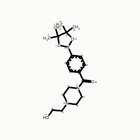 CC1(C)OB(c2ccc(C(=O)N3CCN(CCO)CC3)cc2)OC1(C)C